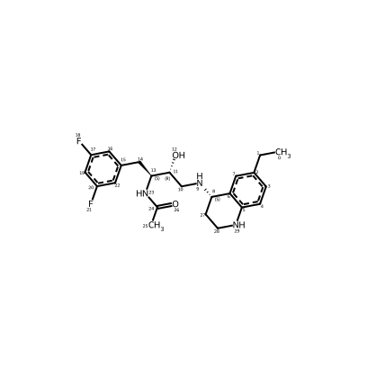 CCc1ccc2c(c1)[C@@H](NC[C@@H](O)[C@H](Cc1cc(F)cc(F)c1)NC(C)=O)CCN2